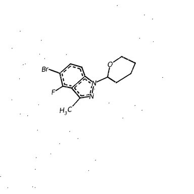 Cc1nn(C2CCCCO2)c2ccc(Br)c(F)c12